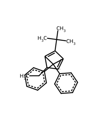 CCC1[C]=C2C(C(C)(C)C)=C1C2(c1ccccc1)c1ccccc1